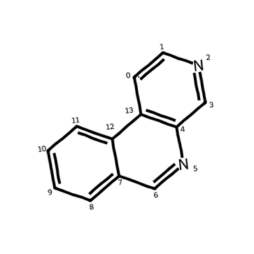 [c]1cncc2ncc3ccccc3c12